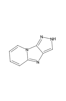 c1ccn2c(c1)nc1c[nH]nc12